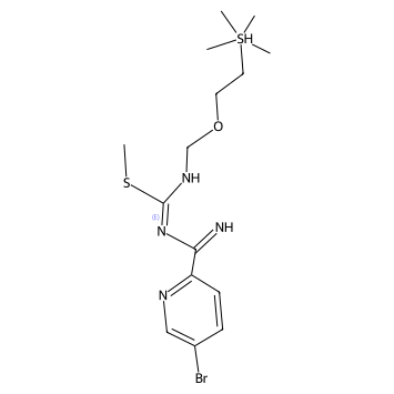 CS/C(=N/C(=N)c1ccc(Br)cn1)NCOCC[SH](C)(C)(C)C